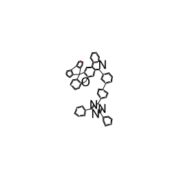 c1ccc(-c2nc(-c3ccccc3)nc(-c3ccc(-c4cccc(-c5nc6ccccc6c6cc7c(cc56)Oc5ccccc5C75c6ccccc6-c6ccccc65)c4)cc3)n2)cc1